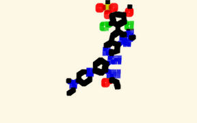 C=CC(=O)Nc1cc(N2CCC(N(C)CC)CC2)ccc1Nc1cc2c(cn1)cc(-c1c(Cl)c(OC)cc(OS(C)(=O)=O)c1Cl)c1ncnn12